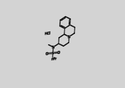 CCCS(=O)(=O)N(C)C1CCN2CCc3ccccc3C2C1.Cl